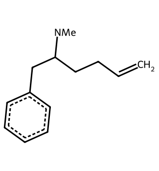 C=CCCC(Cc1ccccc1)NC